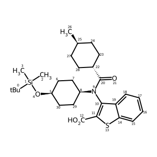 CC(C)(C)[Si](C)(C)O[C@H]1CC[C@@H](N(c2c(C(=O)O)sc3ccccc23)C(=O)[C@H]2CC[C@H](C)CC2)CC1